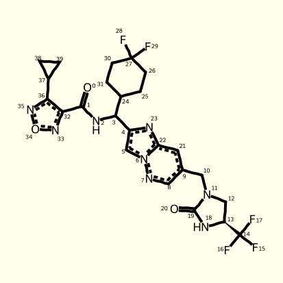 O=C(NC(c1cn2ncc(CN3C[C@@H](C(F)(F)F)NC3=O)cc2n1)C1CCC(F)(F)CC1)c1nonc1C1CC1